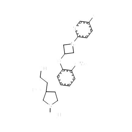 COc1ccc([C@@H]2CN(C(=O)O)C[C@@]2(C)CCO)cc1OC1CN(c2ccc(C)cn2)C1